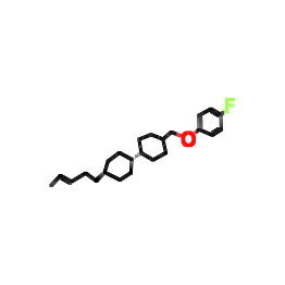 C/C=C/CC[C@H]1CC[C@H](C2CCC(COc3ccc(F)cc3)CC2)CC1